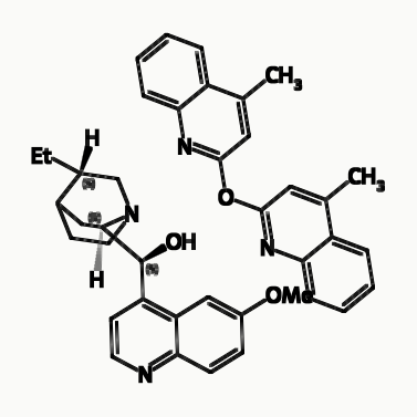 CC[C@@H]1CN2CCC1C[C@@H]2[C@@H](O)c1ccnc2ccc(OC)cc12.Cc1cc(Oc2cc(C)c3ccccc3n2)nc2ccccc12